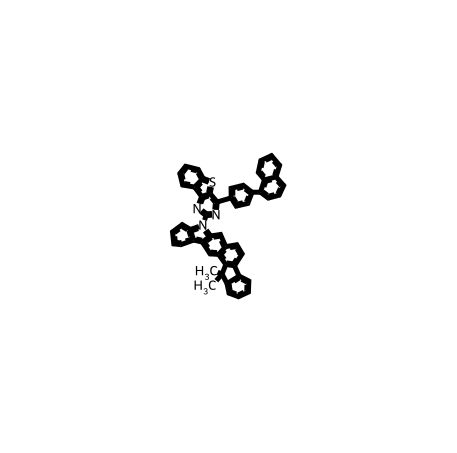 CC1(C)c2ccccc2-c2ccc3cc4c(cc3c21)c1ccccc1n4-c1nc(-c2ccc(-c3cccc4ccccc34)cc2)c2sc3ccccc3c2n1